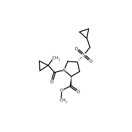 COC(=O)[C@@H]1C[C@@H](S(=O)(=O)CC2CC2)CN1C(=O)C1(C)CC1